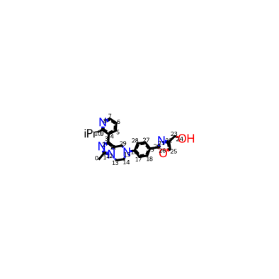 Cc1nc(-c2cccnc2C(C)C)c2n1CCN(c1ccc(-c3nc(CO)co3)cc1)C2